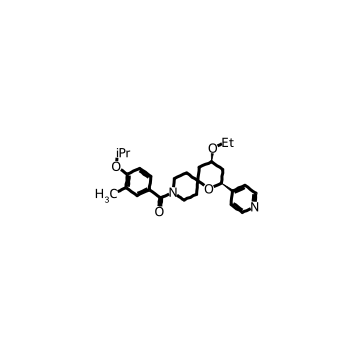 CCO[C@H]1C[C@@H](c2ccncc2)OC2(CCN(C(=O)c3ccc(OC(C)C)c(C)c3)CC2)C1